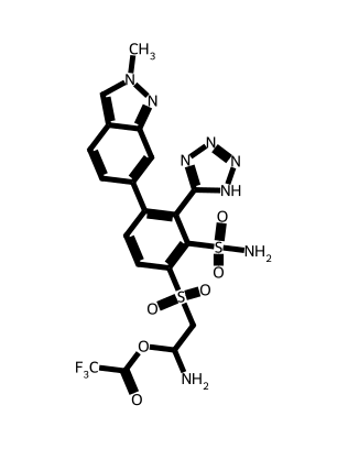 Cn1cc2ccc(-c3ccc(S(=O)(=O)CC(N)OC(=O)C(F)(F)F)c(S(N)(=O)=O)c3-c3nnn[nH]3)cc2n1